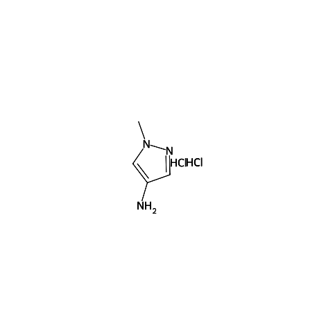 Cl.Cl.Cn1cc(N)cn1